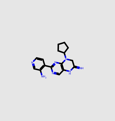 N=C1CN(C2CCCC2)c2nc(-c3ccncc3N)ncc2N1